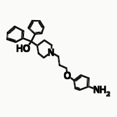 Nc1ccc(OCCCN2CCC(C(O)(c3ccccc3)c3ccccc3)CC2)cc1